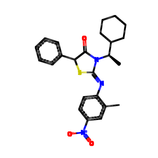 Cc1cc([N+](=O)[O-])ccc1N=C1SC(c2ccccc2)C(=O)N1[C@H](C)C1CCCCC1